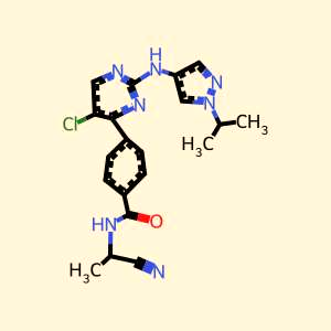 CC(C#N)NC(=O)c1ccc(-c2nc(Nc3cnn(C(C)C)c3)ncc2Cl)cc1